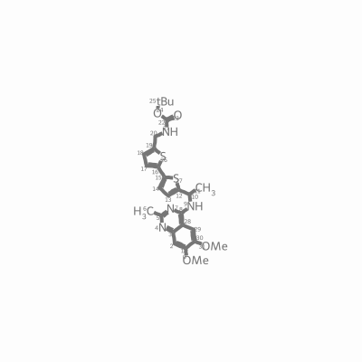 COc1cc2nc(C)nc(NC(C)c3ccc(-c4ccc(CNC(=O)OC(C)(C)C)s4)s3)c2cc1OC